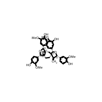 C=C1[C@@H](c2ccc(O)c(OC)c2)O[C@@H](c2ccc(OC)c(O)c2)[C@@]12CC[C@]13O[C@@]1(C2)[C@@H](c1ccc(O)c(OC)c1)O[C@H]3c1ccc(O)c(OC)c1